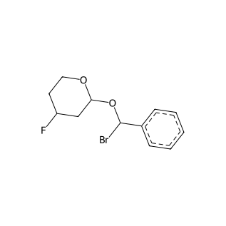 FC1CCOC(OC(Br)c2ccccc2)C1